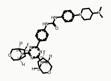 CN(C)C1CCN(c2ccc(NC(=O)Nc3ccc(-c4nc(N5[C@@H]6COC[C@H]5[C@@H](F)C6)nc(N5[C@@H]6COC[C@H]5[C@@H](F)C6)n4)cc3)cc2)CC1